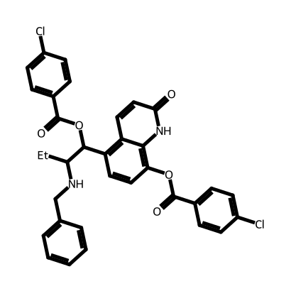 CCC(NCc1ccccc1)C(OC(=O)c1ccc(Cl)cc1)c1ccc(OC(=O)c2ccc(Cl)cc2)c2[nH]c(=O)ccc12